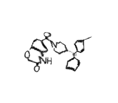 Cc1ccc([C@H](c2ccccc2)C2CCN(C(=O)c3ccc4c(c3)NC(=O)CO4)CC2)cc1